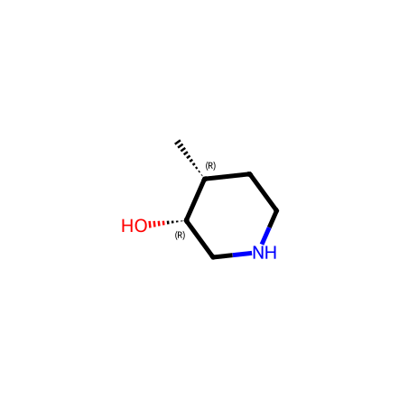 C[C@@H]1CCNC[C@@H]1O